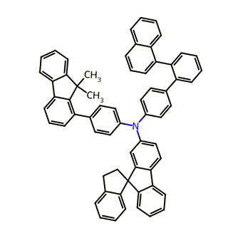 CC1(C)c2ccccc2-c2cccc(-c3ccc(N(c4ccc(-c5ccccc5-c5cccc6ccccc56)cc4)c4ccc5c(c4)C4(CCc6ccccc64)c4ccccc4-5)cc3)c21